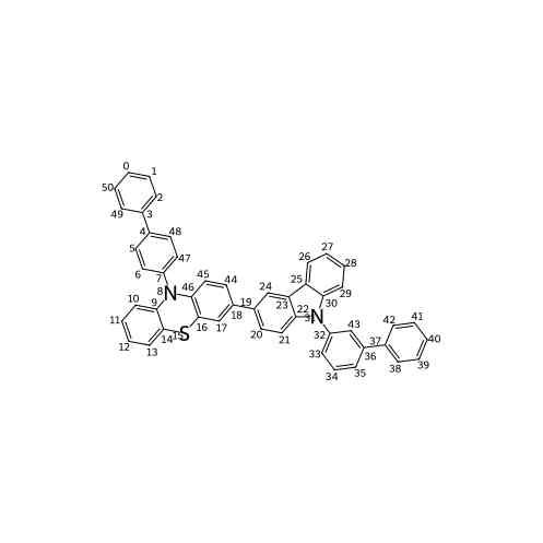 c1ccc(-c2ccc(N3c4ccccc4Sc4cc(-c5ccc6c(c5)c5ccccc5n6-c5cccc(-c6ccccc6)c5)ccc43)cc2)cc1